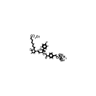 CCOC(=O)CCCCCCN1C(=O)CC[C@@H]1C=C[C@@H](OCC(=O)c1ccc(CO[Si](C)(C)C(C)(C)C)cc1)C(F)(F)c1ccc(I)cc1